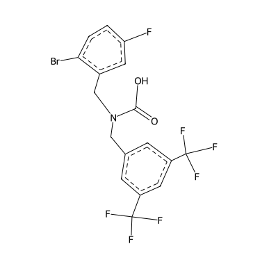 O=C(O)N(Cc1cc(C(F)(F)F)cc(C(F)(F)F)c1)Cc1cc(F)ccc1Br